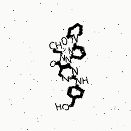 C=CCn1c(=O)c2cnc(Nc3ccc(CO)cc3)nc2n1-c1cccc(-n2ccccc2=O)n1